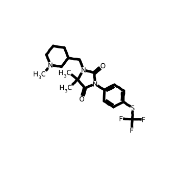 CN1CCCC(CN2C(=O)N(c3ccc(SC(F)(F)F)cc3)C(=O)C2(C)C)C1